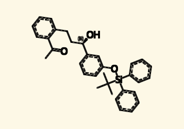 CC(=O)c1ccccc1CC[C@@H](O)c1cccc(O[Si](c2ccccc2)(c2ccccc2)C(C)(C)C)c1